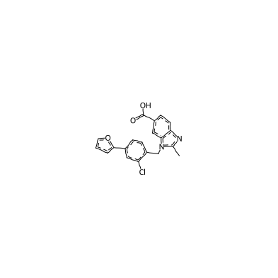 Cc1nc2ccc(C(=O)O)cc2n1Cc1ccc(-c2ccco2)cc1Cl